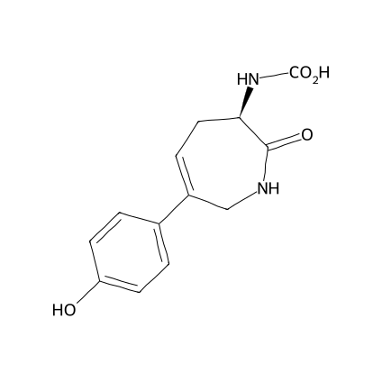 O=C(O)N[C@@H]1CC=C(c2ccc(O)cc2)CNC1=O